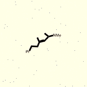 CNC(C)/C=C(\C)CCC(C)C